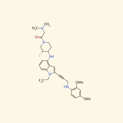 COc1cc(SC)ccc1NCC#Cc1cc2c(NC3CCN(C(=O)CN(C)C)CC3F)cccc2n1CC(F)(F)F